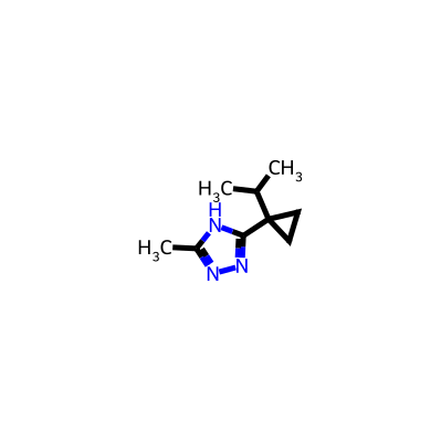 Cc1nnc(C2(C(C)C)CC2)[nH]1